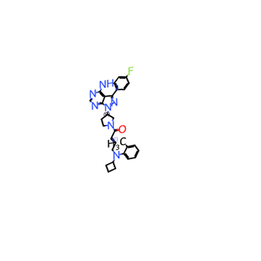 Cc1ccccc1N(C/C=C/C(=O)N1CC[C@@H](n2nc(-c3ccc(F)cc3)c3c(N)ncnc32)C1)C1CCC1